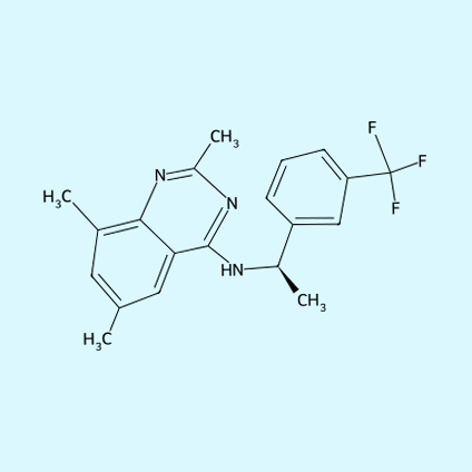 Cc1cc(C)c2nc(C)nc(N[C@H](C)c3cccc(C(F)(F)F)c3)c2c1